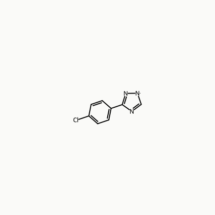 Clc1ccc(C2=N[N]C=N2)cc1